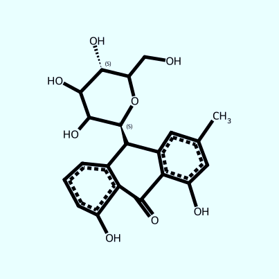 Cc1cc(O)c2c(c1)C([C@@H]1OC(CO)[C@@H](O)C(O)C1O)c1cccc(O)c1C2=O